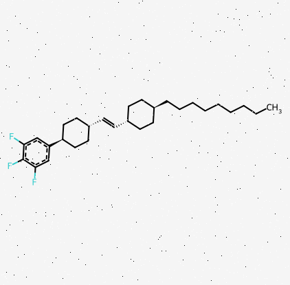 CCCCCCCCC[C@H]1CC[C@H](C=C[C@H]2CC[C@H](c3cc(F)c(F)c(F)c3)CC2)CC1